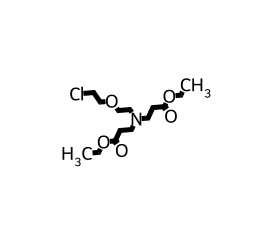 CCOC(=O)CCN(CCOCCCl)CCC(=O)OCC